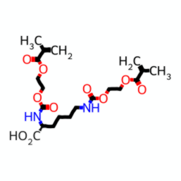 C=C(C)C(=O)OCCOC(=O)NCCCC[C@H](NC(=O)OCCOC(=O)C(=C)C)C(=O)O